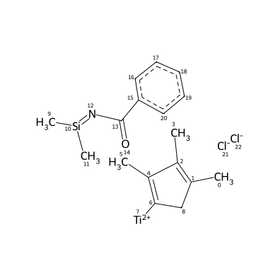 CC1=C(C)C(C)=[C]([Ti+2])C1.C[Si](C)=NC(=O)c1ccccc1.[Cl-].[Cl-]